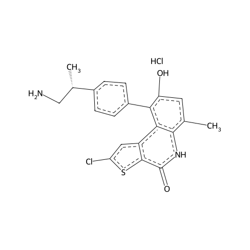 Cc1cc(O)c(-c2ccc([C@@H](C)CN)cc2)c2c1[nH]c(=O)c1sc(Cl)cc12.Cl